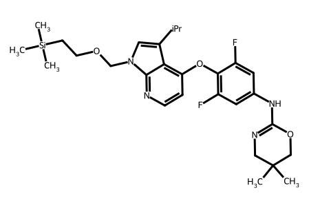 CC(C)c1cn(COCC[Si](C)(C)C)c2nccc(Oc3c(F)cc(NC4=NCC(C)(C)CO4)cc3F)c12